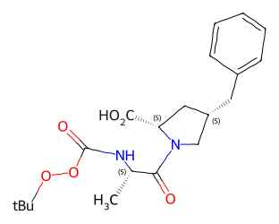 C[C@H](NC(=O)OOC(C)(C)C)C(=O)N1C[C@@H](Cc2ccccc2)C[C@H]1C(=O)O